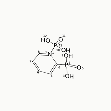 O=P(O)(O)c1cccc[n+]1P(=O)(O)O